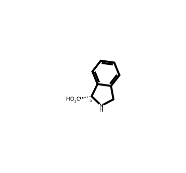 O=C(O)[C@H]1NCc2ccccc21